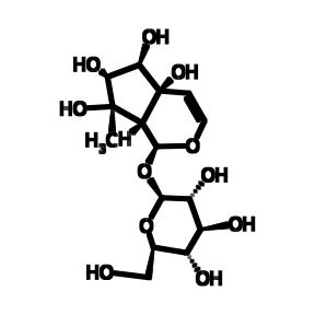 C[C@]1(O)[C@H]2[C@H](O[C@@H]3O[C@H](CO)[C@@H](O)[C@H](O)[C@H]3O)OC=C[C@@]2(O)[C@H](O)[C@@H]1O